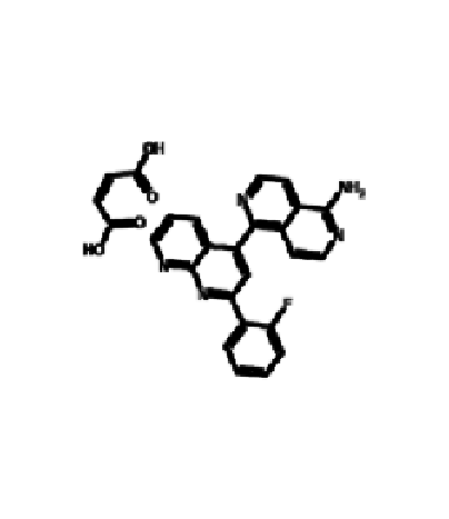 Nc1nccc2c(-c3cc(-c4ccccc4F)nc4ncccc34)nccc12.O=C(O)/C=C\C(=O)O